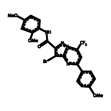 COc1ccc(-c2cc(C(F)(F)F)n3nc(C(=O)Nc4ccc(OC)cc4OC)c(Br)c3n2)cc1